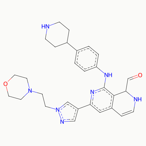 O=CC1NC=Cc2cc(-c3cnn(CCN4CCOCC4)c3)nc(Nc3ccc(C4CCNCC4)cc3)c21